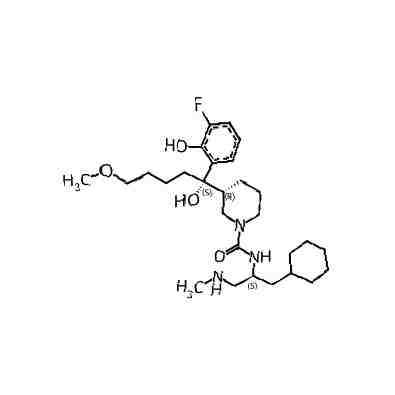 CNC[C@H](CC1CCCCC1)NC(=O)N1CCC[C@@H]([C@@](O)(CCCCOC)c2cccc(F)c2O)C1